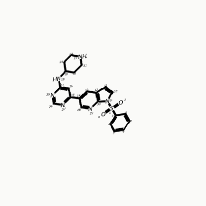 O=S(=O)(c1ccccc1)n1ccc2cc(-c3cc(NC4CCNCC4)ncn3)cnc21